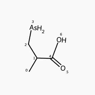 CC(C[AsH2])C(=O)O